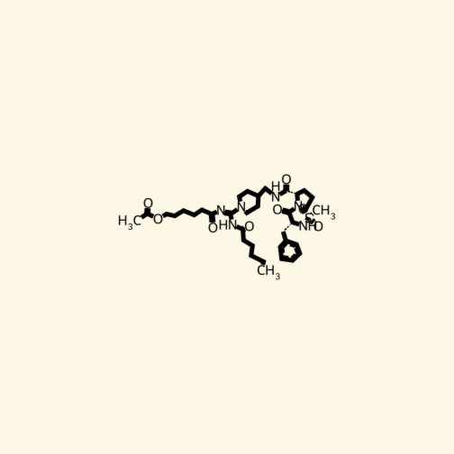 CCCCCC(=O)N/C(=N\C(=O)CCCCCOC(C)=O)N1CCC(CNC(=O)[C@@H]2CCCN2C(=O)[C@@H](Cc2ccccc2)NS(C)(=O)=O)CC1